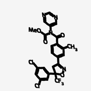 COC(=O)N(C(=O)c1ccc(C2=NOC(c3cc(Cl)cc(Cl)c3)(C(F)(F)F)C2)cc1C)c1cncnc1